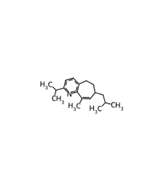 CC1=CC(CC(C)C)CCc2ccc(C(C)C)nc21